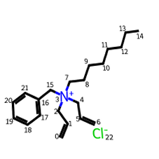 C=CC[N+](CC=C)(CCCCCCCC)Cc1ccccc1.[Cl-]